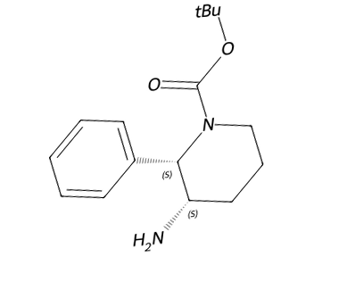 CC(C)(C)OC(=O)N1CCC[C@H](N)[C@@H]1c1ccccc1